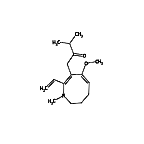 C=C/C1=C(\CC(=O)C(C)C)C(OC)=CCCCN1C